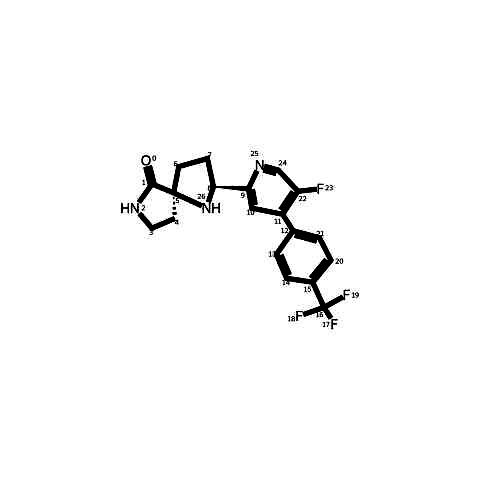 O=C1NCC[C@@]12CC[C@@H](c1cc(-c3ccc(C(F)(F)F)cc3)c(F)cn1)N2